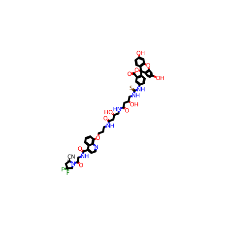 N#C[C@@H]1CC(F)(F)CN1C(=O)CNC(=O)c1ccnc2c(OCCCNC(=O)CC(O)CNC(=O)CC(O)CNC(=S)Nc3ccc4c(c3)C(=O)OC43c4ccc(O)cc4Oc4cc(O)ccc43)cccc12